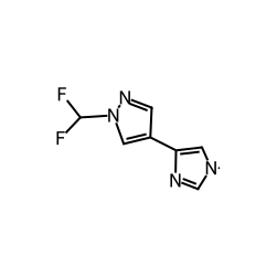 FC(F)n1cc(C2=C[N]C=N2)cn1